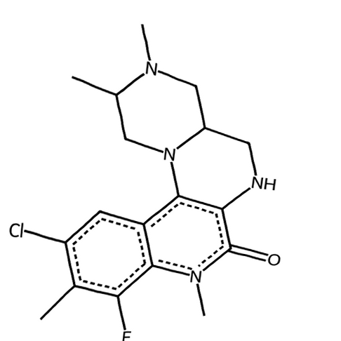 Cc1c(Cl)cc2c3c(c(=O)n(C)c2c1F)NCC1CN(C)C(C)CN31